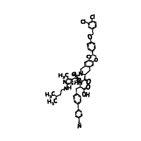 Cc1nc(NCCC(C)C)sc1S(=O)(=O)N1Cc2cc3c(cc2C[C@H]1C(=O)NC(Cc1ccc(-c2ccc(C#N)cc2)cc1)C(=O)O)OC[C@H](c1ccc(OCc2ccc(Cl)c(Cl)c2)cc1)O3